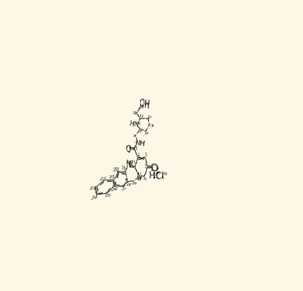 Cl.O=C1C=C(C(=O)NCC2CCCC(CO)N2)C2=Nc3cc4ccccc4cc3CN2C1